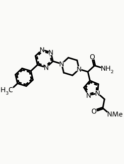 CNC(=O)Cn1cc(C(C(N)=O)N2CCN(c3nncc(-c4ccc(C)cc4)n3)CC2)cn1